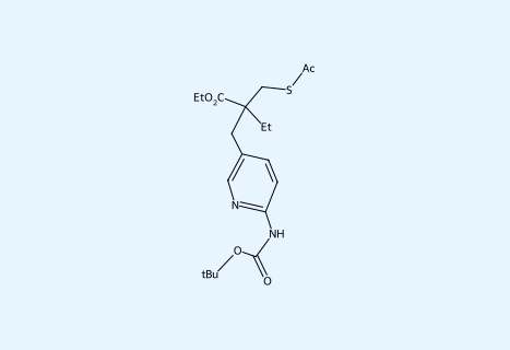 CCOC(=O)C(CC)(CSC(C)=O)Cc1ccc(NC(=O)OC(C)(C)C)nc1